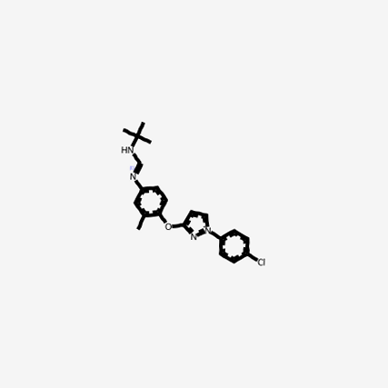 Cc1cc(/N=C/NC(C)(C)C)ccc1Oc1ccn(-c2ccc(Cl)cc2)n1